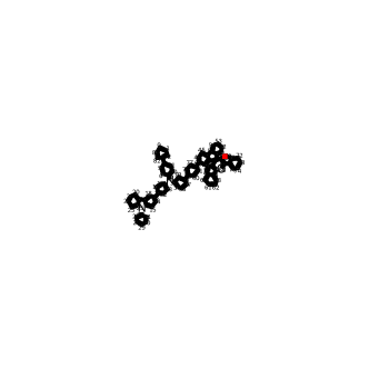 c1ccc(-c2ccc(N(c3ccc(-c4ccc5c(c4)c4ccccc4n5-c4ccccc4)cc3)c3cccc(-c4ccc(-c5ccc6c(c5)C5(c7ccccc7-6)c6ccc7ccccc7c6Oc6c5ccc5ccccc65)cc4)c3)cc2)cc1